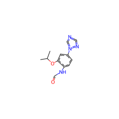 CC(C)Oc1cc(-n2cncn2)ccc1NC=O